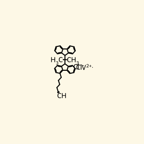 C#CCCCCc1cccc2c1-c1ccccc1C2C(C)(C)C1c2ccccc2-c2ccccc21.[Cl-].[Cl-].[V+2]